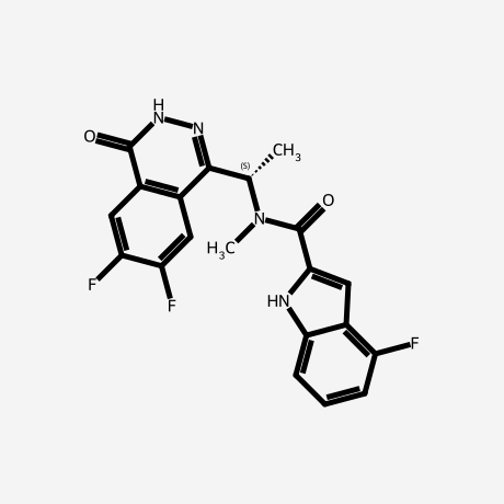 C[C@@H](c1n[nH]c(=O)c2cc(F)c(F)cc12)N(C)C(=O)c1cc2c(F)cccc2[nH]1